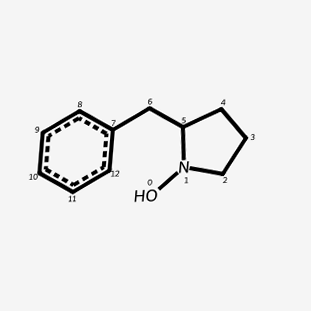 ON1CCCC1Cc1ccccc1